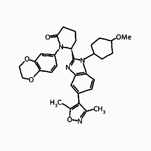 COC1CCC(n2c([C@@H]3CCCC(=O)N3c3ccc4c(c3)OCCO4)nc3cc(-c4c(C)noc4C)ccc32)CC1